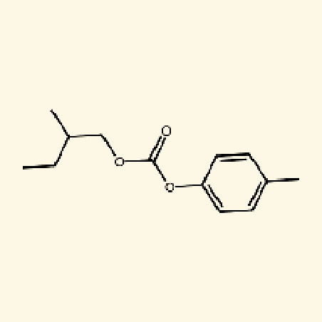 CCC(C)COC(=O)Oc1ccc(C)cc1